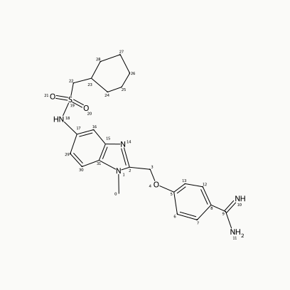 Cn1c(COc2ccc(C(=N)N)cc2)nc2cc(NS(=O)(=O)CC3CCCCC3)ccc21